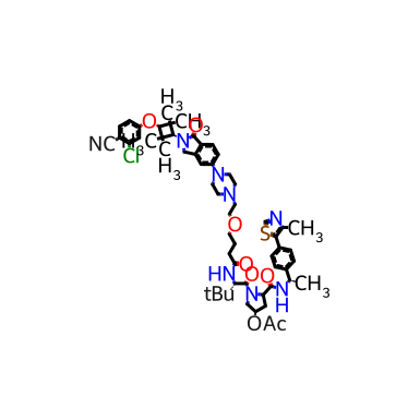 CC(=O)O[C@@H]1CC(C(=O)N[C@@H](C)c2ccc(-c3scnc3C)cc2)N(C(=O)[C@@H](NC(=O)CCCOCCN2CCN(c3ccc4c(c3)CN([C@H]3C(C)(C)[C@H](Oc5ccc(C#N)c(Cl)c5)C3(C)C)C4=O)CC2)C(C)(C)C)C1